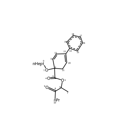 CCCCCCCOC1(C(=O)OC(C)C(=O)CCC)C=CC(c2ccccc2)=CC1